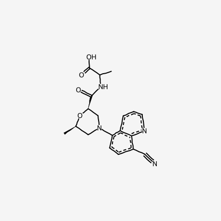 CC(NC(=O)[C@H]1CN(c2ccc(C#N)c3ncccc23)C[C@@H](C)O1)C(=O)O